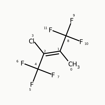 C/C(=C(/Cl)C(F)(F)F)C(F)(F)F